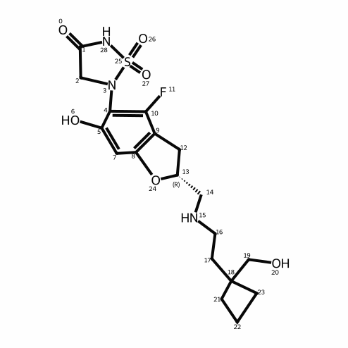 O=C1CN(c2c(O)cc3c(c2F)C[C@H](CNCCC2(CO)CCC2)O3)S(=O)(=O)N1